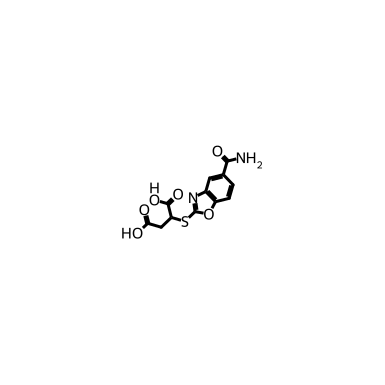 NC(=O)c1ccc2oc(SC(CC(=O)O)C(=O)O)nc2c1